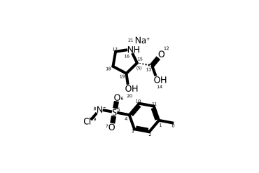 Cc1ccc(S(=O)(=O)[N-]Cl)cc1.O=C(O)[C@H]1NCCC1O.[Na+]